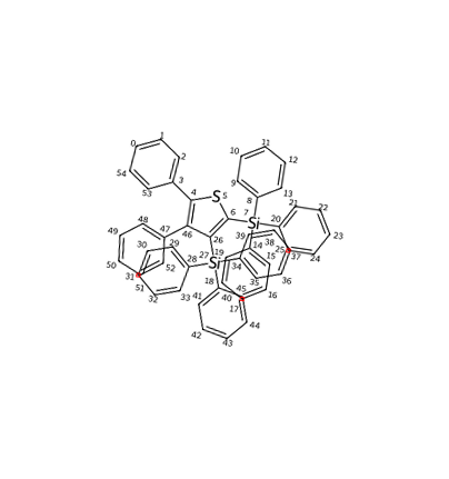 c1ccc(-c2sc([Si](c3ccccc3)(c3ccccc3)c3ccccc3)c([Si](c3ccccc3)(c3ccccc3)c3ccccc3)c2-c2ccccc2)cc1